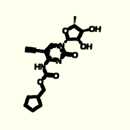 C#Cc1cn([C@@H]2O[C@H](C)[C@@H](O)[C@H]2O)c(=O)nc1NC(=O)OCC1CCCC1